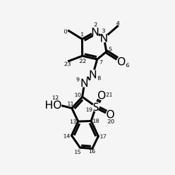 Cc1nn(C)c(=O)c(N=NC2=C(O)c3ccccc3S2(=O)=O)c1C